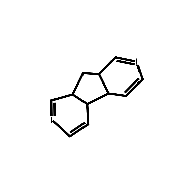 C1=CC2C(C=I1)CC1C=IC=CC12